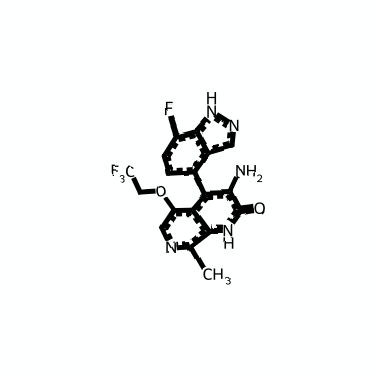 Cc1ncc(OCC(F)(F)F)c2c(-c3ccc(F)c4[nH]ncc34)c(N)c(=O)[nH]c12